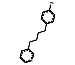 Oc1ccc(CCCCc2cccnc2)cc1